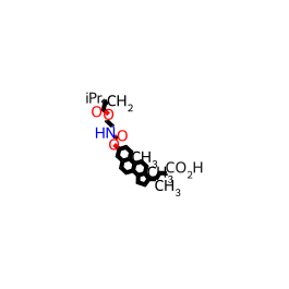 C=C(C(=O)OCCNC(=O)OC1CCC2(C)C(CCC3C2CCC2(C)C(C(C)CCC(=O)O)CCC32)C1)C(C)C